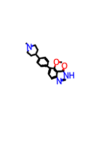 COc1c(-c2ccc(C3CCN(C)CC3)cc2)ccc2nc[nH]c(=O)c12